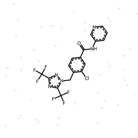 O=C(Nc1cccnc1)c1ccc(Cn2nc(C(F)(F)F)nc2C(F)(F)F)c(Cl)c1